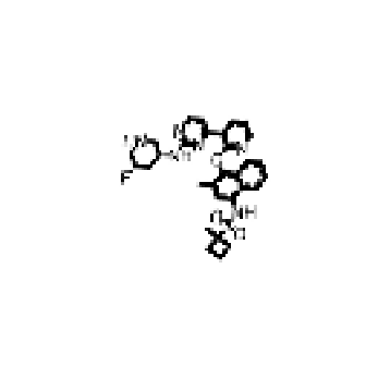 Cc1cc(NS(=O)(=O)C2(C)CCC2)c2ccccc2c1Oc1ncccc1-c1ccnc(N[C@@H]2CNC[C@@H](F)C2)n1